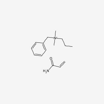 C=CC(N)=O.CCC[N+](C)(C)Cc1ccccc1